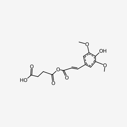 COc1cc(C=CC(=O)OC(=O)CCC(=O)O)cc(OC)c1O